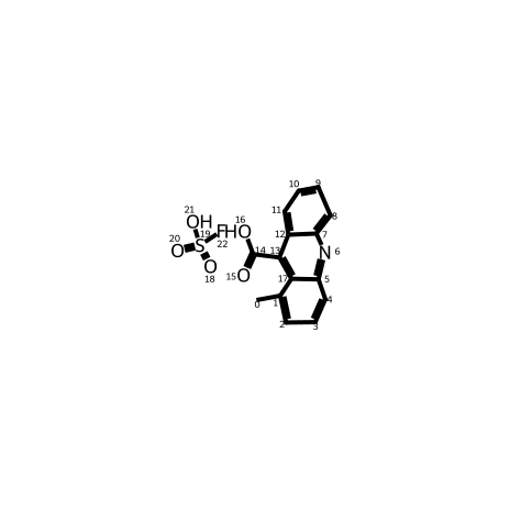 Cc1cccc2nc3ccccc3c(C(=O)O)c12.O=S(=O)(O)F